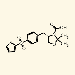 CC1(C)OC[C@H](Cc2ccc(S(=O)(=O)c3cccs3)cc2)N1C(=O)O